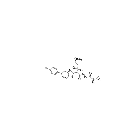 COCCS(=O)(=O)C(C(=O)NCC(=O)NC1CC1)c1nc2cc(-c3ccc(F)cc3)ccc2s1